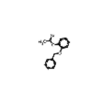 CC(Br)Oc1ccccc1OCc1ccccc1